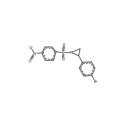 O=[N+]([O-])c1ccc(S(=O)(=O)N2CC2c2ccc(Br)cc2)cc1